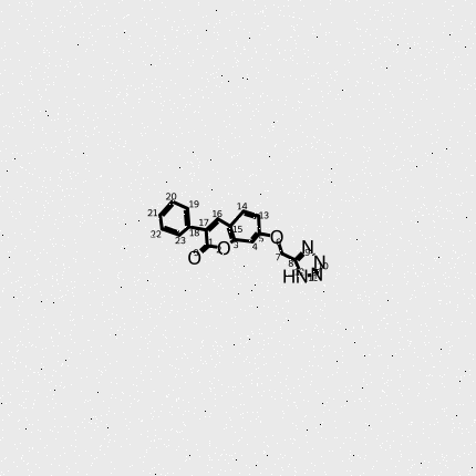 O=c1oc2cc(OCc3nnn[nH]3)ccc2cc1-c1ccccc1